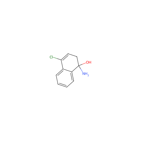 NC1(O)CC=C(Cl)c2ccccc21